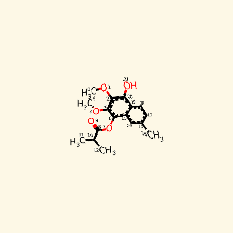 COc1c(OC)c(OC(=O)C(C)C)c2cc(C)ccc2c1O